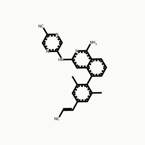 Cc1cc(C=CC#N)cc(C)c1-c1cccc2c(N)nc(Nc3cnc(C#N)cn3)cc12